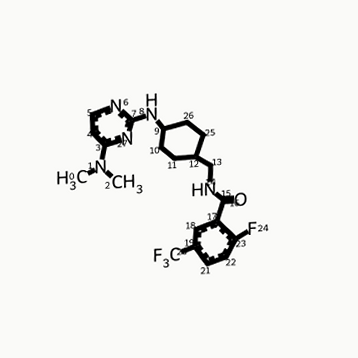 CN(C)c1ccnc(NC2CCC(CNC(=O)c3cc(C(F)(F)F)ccc3F)CC2)n1